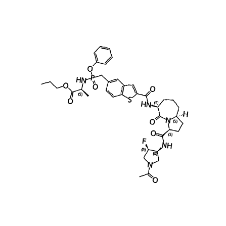 CCCOC(=O)[C@H](C)NP(=O)(Cc1ccc2sc(C(=O)N[C@H]3CCC[C@H]4CC[C@@H](C(=O)N[C@H]5CN(C(C)=O)C[C@H]5F)N4C3=O)cc2c1)Oc1ccccc1